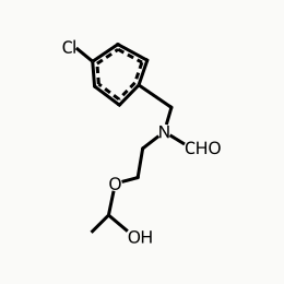 CC(O)OCCN(C=O)Cc1ccc(Cl)cc1